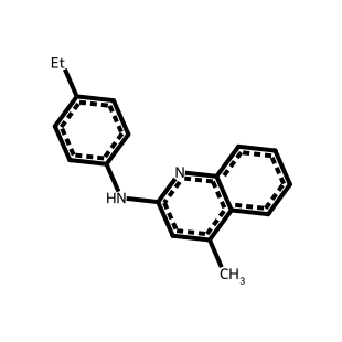 CCc1ccc(Nc2cc(C)c3ccccc3n2)cc1